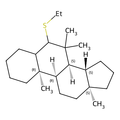 CCSC1C2CCCC[C@]2(C)[C@@H]2CC[C@]3(C)CCC[C@H]3[C@@H]2C1(C)C